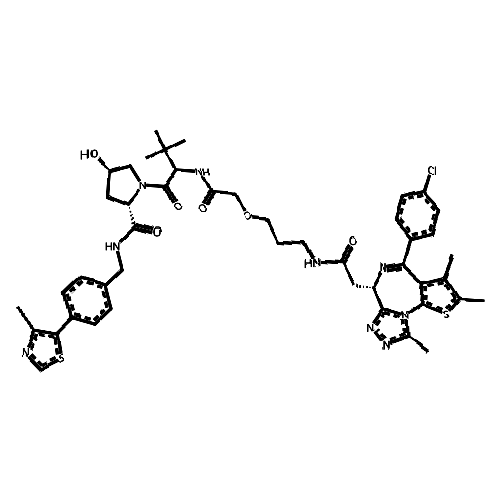 Cc1ncsc1-c1ccc(CNC(=O)[C@@H]2C[C@@H](O)CN2C(=O)C(NC(=O)COCCCNC(=O)C[C@@H]2N=C(c3ccc(Cl)cc3)c3c(sc(C)c3C)-n3c(C)nnc32)C(C)(C)C)cc1